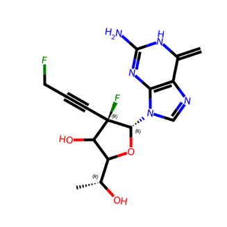 C=C1NC(N)=Nc2c1ncn2[C@@H]1OC([C@@H](C)O)C(O)[C@]1(F)C#CCF